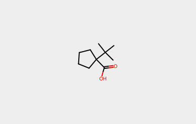 CC(C)(C)C1(C(=O)O)CCCC1